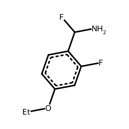 CCOc1ccc(C(N)F)c(F)c1